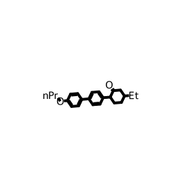 CCCOc1ccc(-c2ccc(C3CCC(CC)CC3=O)cc2)cc1